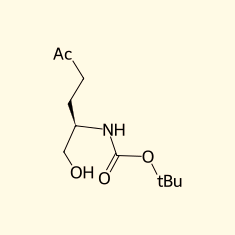 CC(=O)CC[C@H](CO)NC(=O)OC(C)(C)C